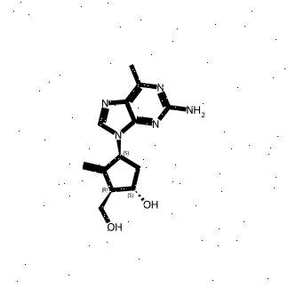 C=C1[C@H](CO)[C@@H](O)C[C@@H]1n1cnc2c(C)nc(N)nc21